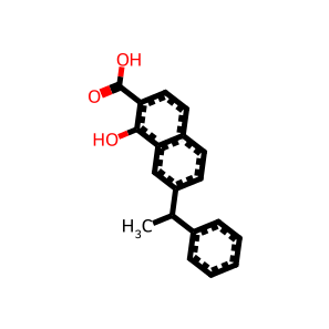 CC(c1ccccc1)c1ccc2ccc(C(=O)O)c(O)c2c1